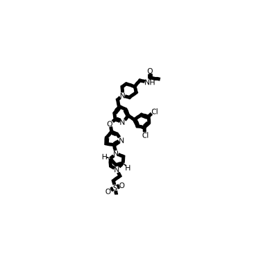 CC(=O)NCC1CCN(Cc2cc(Oc3ccc(N4C[C@@H]5C[C@H]4CN5CCS(C)(=O)=O)nc3)nc(-c3cc(Cl)cc(Cl)c3)c2)CC1